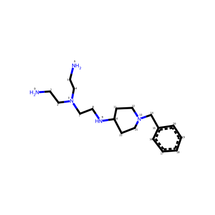 NCCN(CCN)CCNC1CCN(Cc2ccccc2)CC1